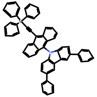 C(#C[Si](c1ccccc1)(c1ccccc1)c1ccccc1)c1c2ccccc2c(-n2c3ccc(-c4ccccc4)cc3c3cc(-c4ccccc4)ccc32)c2ccccc12